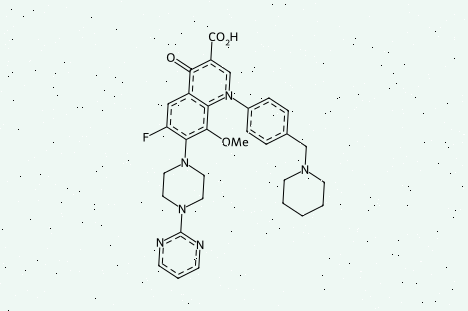 COc1c(N2CCN(c3ncccn3)CC2)c(F)cc2c(=O)c(C(=O)O)cn(-c3ccc(CN4CCCCC4)cc3)c12